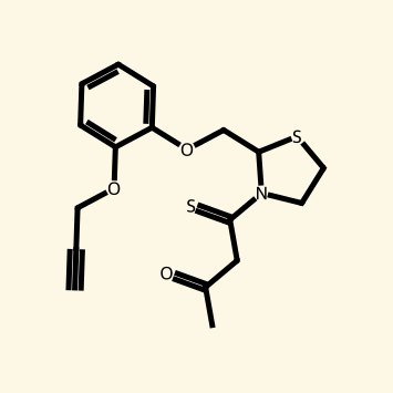 C#CCOc1ccccc1OCC1SCCN1C(=S)CC(C)=O